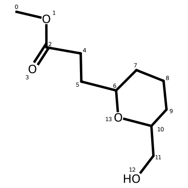 COC(=O)CCC1CCCC(CO)O1